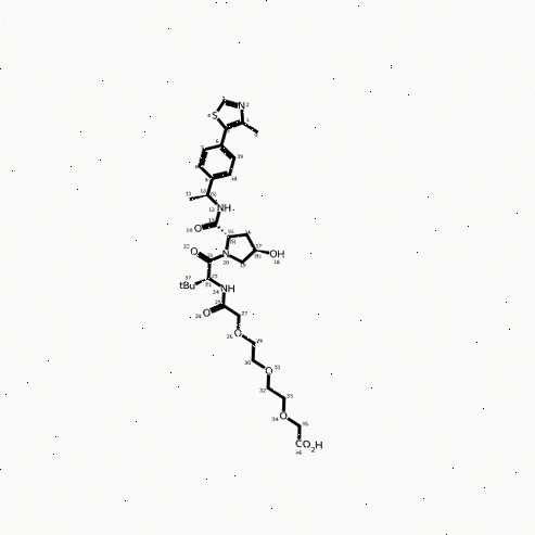 Cc1ncsc1-c1ccc([C@H](C)NC(=O)[C@@H]2C[C@@H](O)CN2C(=O)[C@@H](NC(=O)COCCOCCOCC(=O)O)C(C)(C)C)cc1